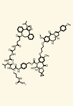 COc1ccc(C2=CN3C(=O)c4cc(OC)c(OCCCOc5cc6c(cc5OC)C(=O)N5CC7(CC7)C[C@H]5C(O)N6C(=O)OCc5ccc(NC(=O)[C@H](CCCNC(N)=O)NC(=O)[C@@H](NC(=O)CNC(=O)CNC(=O)CCC(=O)N6Cc7ccccc7-c7nnn(C(C)C)c7-c7ccccc76)C(C)C)cc5)cc4NC[C@@H]3C2)cc1